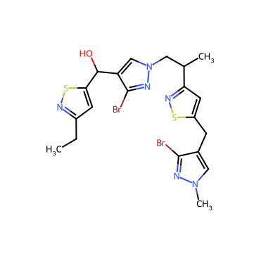 CCc1cc(C(O)c2cn(CC(C)c3cc(Cc4cn(C)nc4Br)sn3)nc2Br)sn1